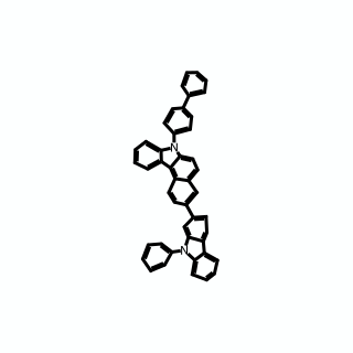 c1ccc(-c2ccc(-n3c4ccccc4c4c5ccc(-c6ccc7c8ccccc8n(-c8ccccc8)c7c6)cc5ccc43)cc2)cc1